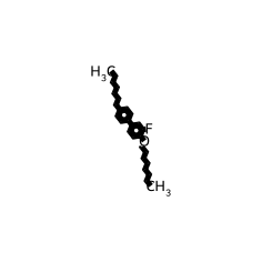 CCCCCCCCOc1ccc(-c2ccc(CCCCCCC)cc2)cc1F